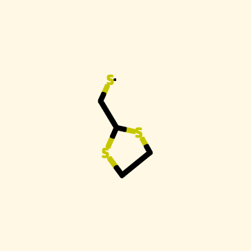 [S]CC1SCCS1